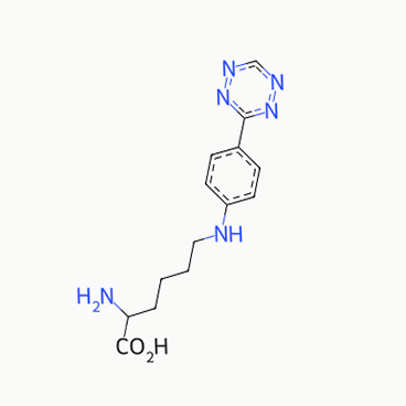 NC(CCCCNc1ccc(-c2nncnn2)cc1)C(=O)O